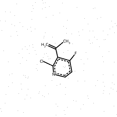 C=C(C)c1c(F)ccnc1Cl